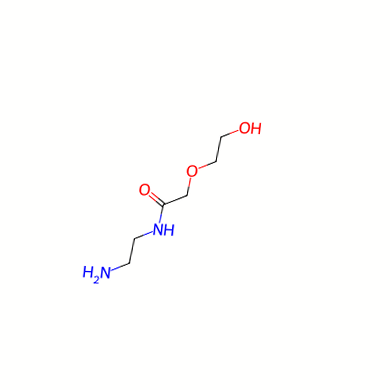 NCCNC(=O)COCCO